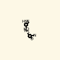 COc1ccc(CSc2nnc(-c3ccc4[nH]ncc4c3)o2)cc1C#N